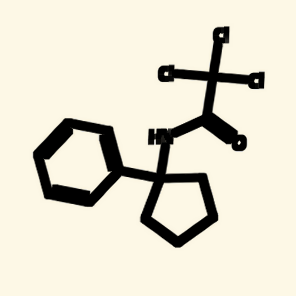 O=C(NC1(c2ccccc2)CCCC1)C(Cl)(Cl)Cl